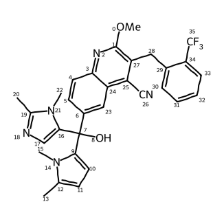 COc1nc2ccc(C(O)(c3ccc(C)n3C)c3cnc(C)n3C)cc2c(C#N)c1Cc1ccccc1C(F)(F)F